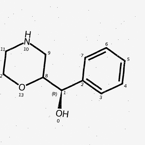 O[C@H](c1ccccc1)C1CNCCO1